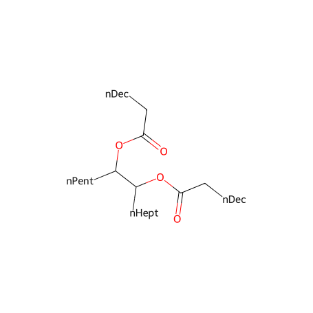 CCCCCCCCCCCC(=O)OC(CCCCC)C(CCCCCCC)OC(=O)CCCCCCCCCCC